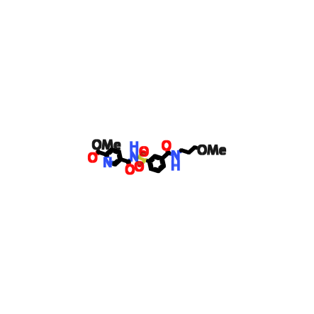 COCCCNC(=O)c1cccc(S(=O)(=O)NC(=O)c2ccc(C(=O)OC)nc2)c1